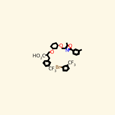 Cc1cccc(-c2nc(CO[C@H]3CCC[C@@H](OCC(Cc4cccc(C(F)(F)F)c4)C(=O)O)C3)c(C)o2)c1.FC(F)(F)c1cccc(Br)c1